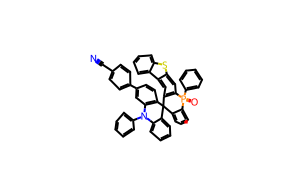 N#Cc1ccc(-c2ccc3c(c2)N(c2ccccc2)c2ccccc2C32c3ccccc3P(=O)(c3ccccc3)c3cc4sc5ccccc5c4cc32)cc1